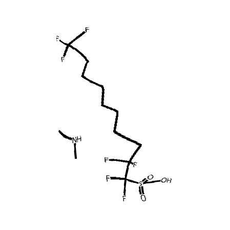 CNC.O=S(=O)(O)C(F)(F)C(F)(F)CCCCCCCC(F)(F)F